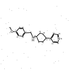 COc1ccc(CNC2CCC(c3ccncc3)CC2)cc1